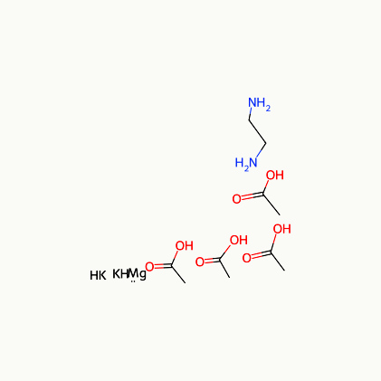 CC(=O)O.CC(=O)O.CC(=O)O.CC(=O)O.NCCN.[KH].[KH].[Mg]